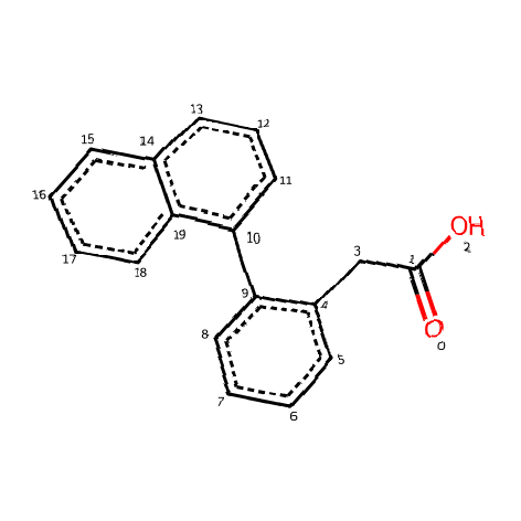 O=C(O)Cc1ccccc1-c1cccc2ccccc12